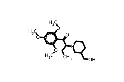 CCC(C(=O)c1c(OC)cc(OC)cc1OC)N1CCCC(CO)C1